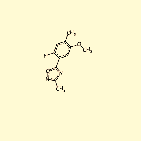 COc1cc(-c2nc(C)no2)c(F)cc1C